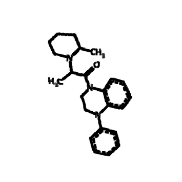 CC1CCCCN1C(C)C(=O)N1CCN(c2ccccc2)c2ccccc21